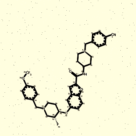 N#Cc1ccc(CN2CCC(NC(=O)c3cc4cc(O[C@@H]5CCN(Cc6ccc(OC(F)(F)F)cc6)C[C@H]5F)ccc4o3)CC2)cc1